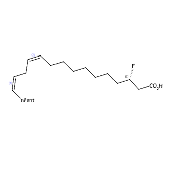 CCCCC/C=C\C/C=C\CCCCCCC[C@H](F)CC(=O)O